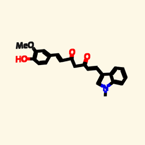 COc1cc(C=CC(=O)CC(=O)C=Cc2cn(C)c3ccccc23)ccc1O